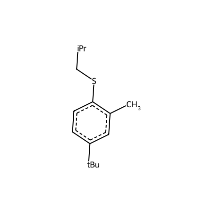 Cc1cc(C(C)(C)C)ccc1SCC(C)C